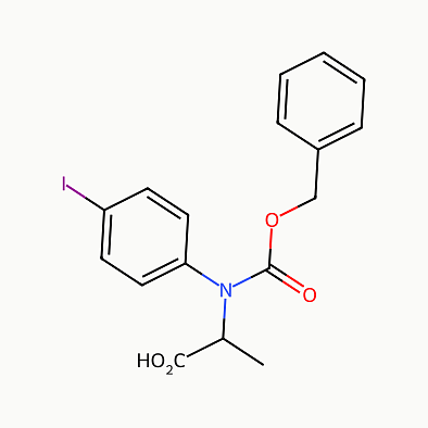 CC(C(=O)O)N(C(=O)OCc1ccccc1)c1ccc(I)cc1